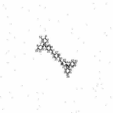 CC1=CC=C(N(c2ccc(C)cc2)c2ccc(C=Cc3ccc(C=CC4=CCC(N(c5ccc(C)cc5)c5ccc(C)cc5)C=C4)cc3)cc2)CC1C